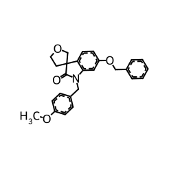 COc1ccc(CN2C(=O)C3(CCOC3)c3ccc(OCc4ccccc4)cc32)cc1